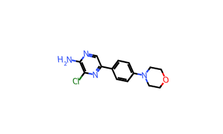 Nc1ncc(-c2ccc(N3CCOCC3)cc2)nc1Cl